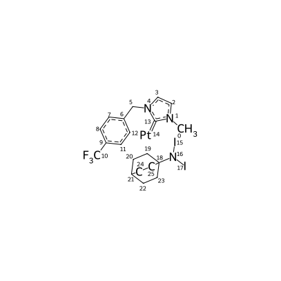 Cn1ccn(Cc2ccc(C(F)(F)F)cc2)[c]1=[Pt].IN(I)C12CCC(CC1)CC2